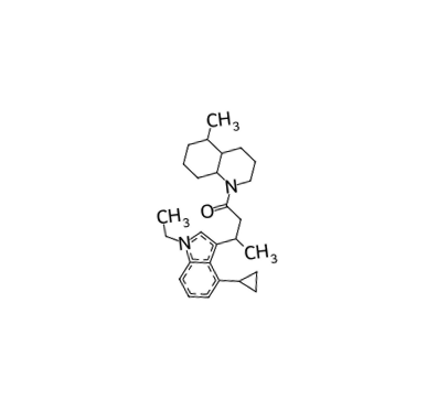 CCn1cc(C(C)CC(=O)N2CCCC3C(C)CCCC32)c2c(C3CC3)cccc21